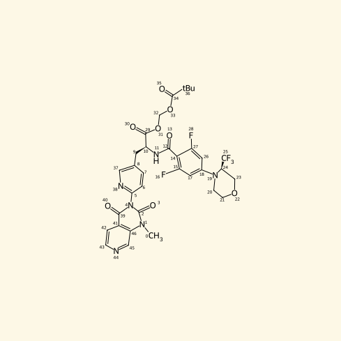 Cn1c(=O)n(-c2ccc(C[C@H](NC(=O)c3c(F)cc(N4CCOC[C@@H]4C(F)(F)F)cc3F)C(=O)OCOC(=O)C(C)(C)C)cn2)c(=O)c2ccncc21